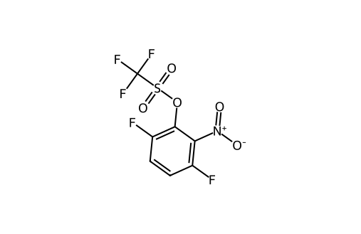 O=[N+]([O-])c1c(F)ccc(F)c1OS(=O)(=O)C(F)(F)F